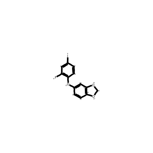 Fc1cc(I)ccc1Oc1ccc2c(c1)OCO2